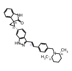 C[C@@H]1CCC[C@H](C)N1Cc1ccc(/C=C/c2n[nH]c3cc([C@@H]4C[C@@]45C(=O)Nc4ccccc45)ccc23)cc1